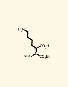 CCCCCCN(C(=O)OCC)[C@@H](CCCCN)C(=O)O